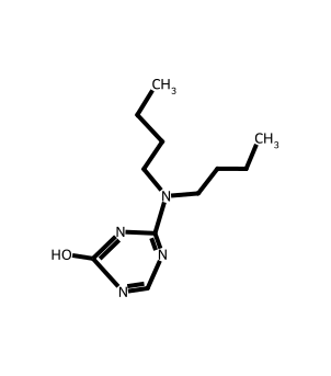 CCCCN(CCCC)c1ncnc(O)n1